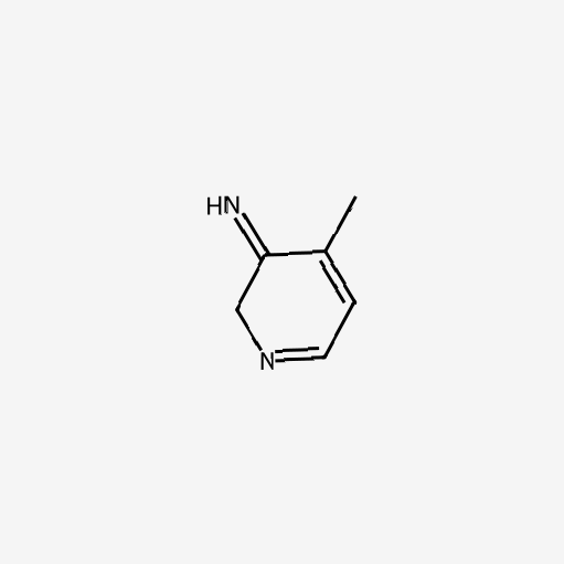 CC1=CC=NCC1=N